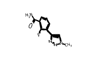 Cn1cc(-c2cccc(C(N)=O)c2F)nn1